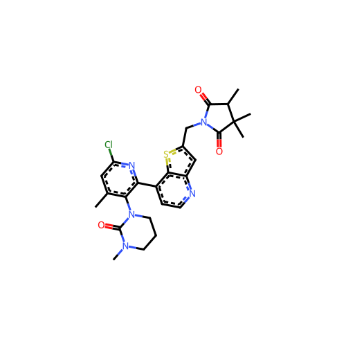 Cc1cc(Cl)nc(-c2ccnc3cc(CN4C(=O)C(C)C(C)(C)C4=O)sc23)c1N1CCCN(C)C1=O